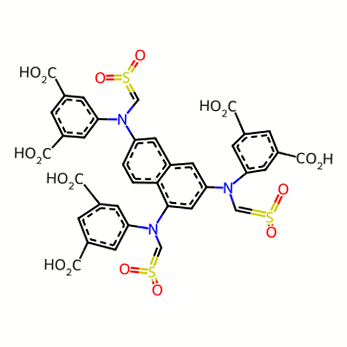 O=C(O)c1cc(C(=O)O)cc(N(C=S(=O)=O)c2ccc3c(N(C=S(=O)=O)c4cc(C(=O)O)cc(C(=O)O)c4)cc(N(C=S(=O)=O)c4cc(C(=O)O)cc(C(=O)O)c4)cc3c2)c1